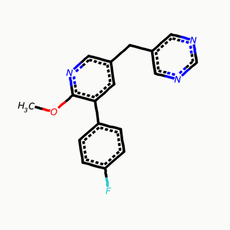 COc1ncc(Cc2cncnc2)cc1-c1ccc(F)cc1